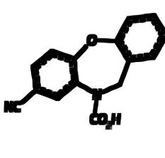 N#Cc1ccc2c(c1)N(C(=O)O)Cc1ccccc1O2